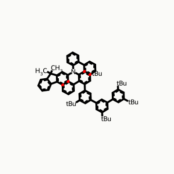 CC(C)(C)c1cc(-c2cc(-c3cc(C(C)(C)C)cc(N(c4ccc5c(c4)C(C)(C)c4ccccc4-5)c4ccccc4-c4ccccc4)c3-c3ccccc3)cc(C(C)(C)C)c2)cc(-c2cc(C(C)(C)C)cc(C(C)(C)C)c2)c1